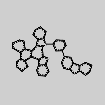 c1cc(-c2ccc3sc4ccccc4c3c2)cc(-n2c3ccccc3c3c4c5ccccc5c5ccccc5c4c4c5ccccc5oc4c32)c1